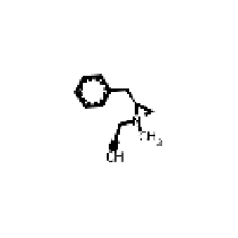 C#CC[N+]1(C)C[C@@H]1Cc1ccccc1